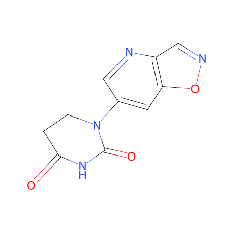 O=C1CCN(c2cnc3cnoc3c2)C(=O)N1